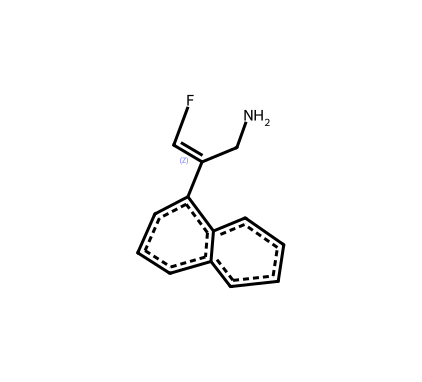 NC/C(=C\F)c1cccc2ccccc12